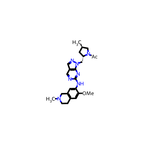 COc1cc2c(cc1Nc1ncc3cnn(C[C@@H]4C[C@@H](C)CN4C(C)=O)c3n1)CN(C)CC2